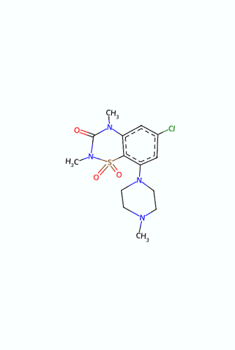 CN1CCN(c2cc(Cl)cc3c2S(=O)(=O)N(C)C(=O)N3C)CC1